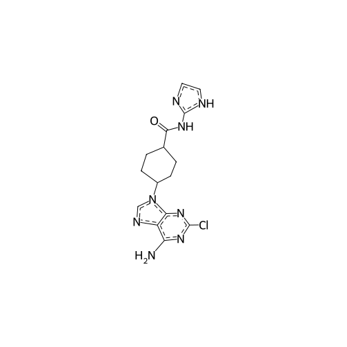 Nc1nc(Cl)nc2c1ncn2C1CCC(C(=O)Nc2ncc[nH]2)CC1